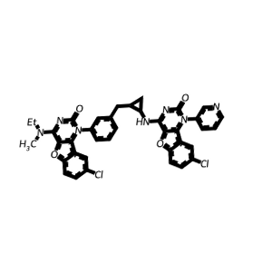 CCN(C)c1nc(=O)n(-c2cccc(CC3CC3Nc3nc(=O)n(-c4cccnc4)c4c3oc3ccc(Cl)cc34)c2)c2c1oc1ccc(Cl)cc12